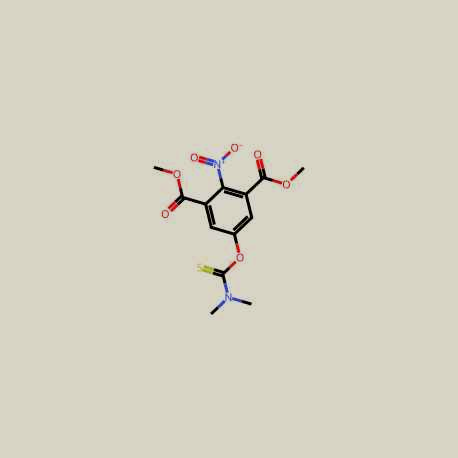 COC(=O)c1cc(OC(=S)N(C)C)cc(C(=O)OC)c1[N+](=O)[O-]